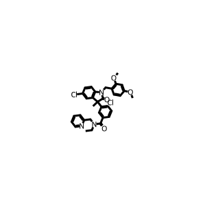 CCN(Cc1ccccn1)C(=O)c1ccc(Cl)c(C2(C)C(=O)N(Cc3ccc(OC)cc3OC)c3ccc(Cl)cc32)c1